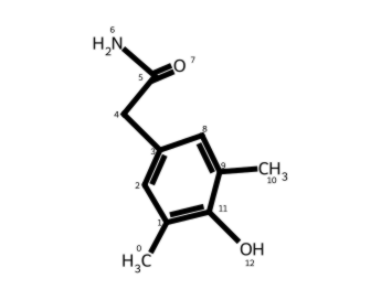 Cc1cc(CC(N)=O)cc(C)c1O